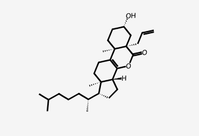 C=CC[C@@]12C[C@@H](O)CC[C@]1(C)C1=C(OC2=O)[C@@H]2CC[C@H]([C@H](C)CCCC(C)C)[C@@]2(C)CC1